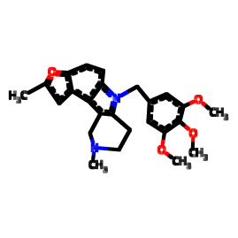 COc1cc(Cn2c3c(c4c5cc(C)oc5ccc42)CN(C)CC3)cc(OC)c1OC